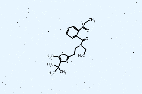 CCN(CCc1nc(C(C)(C)C)c(C)o1)C(=O)c1ccccc1C(=O)OC